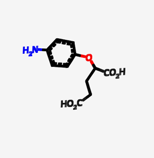 Nc1ccc(OC(CCC(=O)O)C(=O)O)cc1